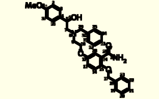 COc1ccc(C(O)CN(CCOc2ccc(OCc3ccccc3)c(C(N)=O)c2)Cc2ccccc2)cc1